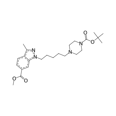 COC(=O)c1ccc2c(C)nn(CCCCCN3CCN(C(=O)OC(C)(C)C)CC3)c2c1